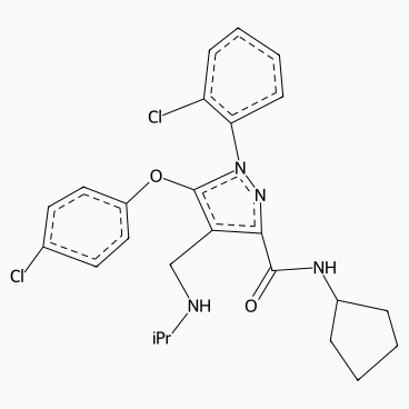 CC(C)NCc1c(C(=O)NC2CCCC2)nn(-c2ccccc2Cl)c1Oc1ccc(Cl)cc1